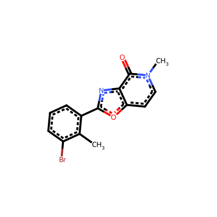 Cc1c(Br)cccc1-c1nc2c(=O)n(C)ccc2o1